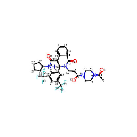 CC(=O)N1CCN(C(=O)CCN2C(=O)c3ccccc3C(C(=O)NC3CCCC3)C2c2cc(C(F)(F)F)cc(C(F)(F)F)c2)CC1